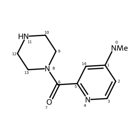 CNc1ccnc(C(=O)N2CCNCC2)c1